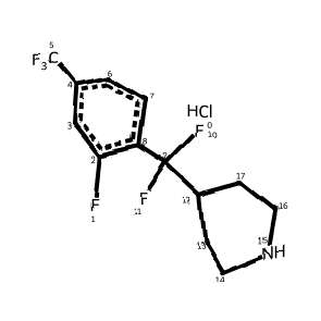 Cl.Fc1cc(C(F)(F)F)ccc1C(F)(F)C1CCNCC1